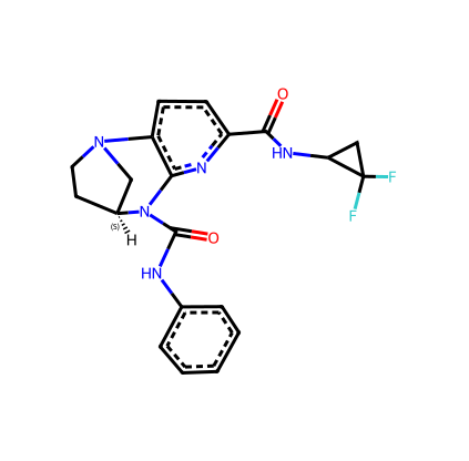 O=C(NC1CC1(F)F)c1ccc2c(n1)N(C(=O)Nc1ccccc1)[C@H]1CCN2C1